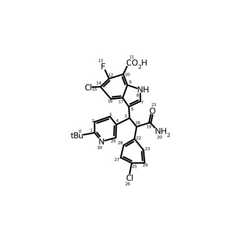 CC(C)(C)c1ccc(C(c2c[nH]c3c(C(=O)O)c(F)c(Cl)cc23)C(C(N)=O)c2ccc(Cl)cc2)cn1